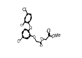 COC(=O)COC(=O)COc1cc(Cl)ccc1Oc1ccc(Cl)cc1Cl